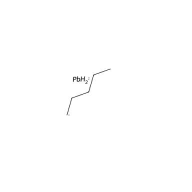 [CH2]CCCC.[PbH2]